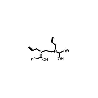 C=CCN(CCN(CC=C)C(O)CCC)C(O)CCC